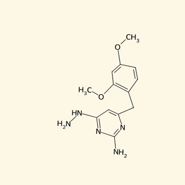 COc1ccc(Cc2cc(NN)nc(N)n2)c(OC)c1